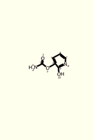 NC(=O)Oc1cccnc1O